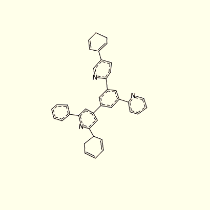 C1=CCC(c2cc(-c3cc(-c4ccccn4)cc(-c4ccc(C5=CCCC=C5)cn4)c3)cc(-c3ccccc3)n2)C=C1